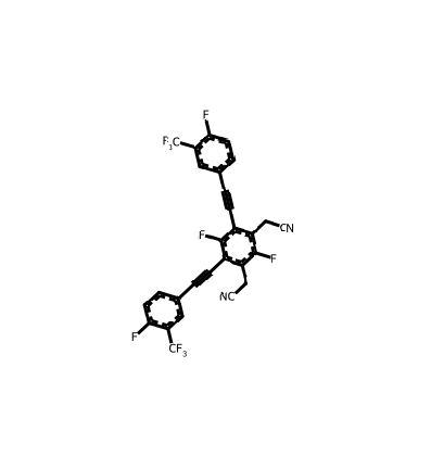 N#CCc1c(F)c(CC#N)c(C#Cc2ccc(F)c(C(F)(F)F)c2)c(F)c1C#Cc1ccc(F)c(C(F)(F)F)c1